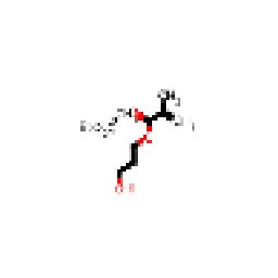 C=C(C)C(=O)OCCCO.CCOC(C)=O